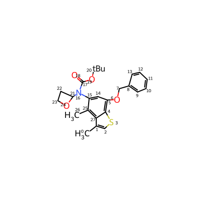 Cc1csc2c(OCc3ccccc3)cc(N(C(=O)OC(C)(C)C)C3CCO3)c(C)c12